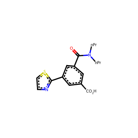 CCCN(CCC)C(=O)c1cc(C(=O)O)cc(-c2nccs2)c1